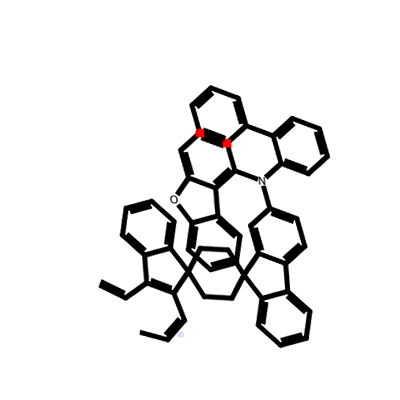 C=CC1=C(/C=C\C)C2(CCC3(CC2)c2ccccc2-c2ccc(N(c4ccccc4-c4ccccc4)c4cccc5oc6ccccc6c45)cc23)c2ccccc21